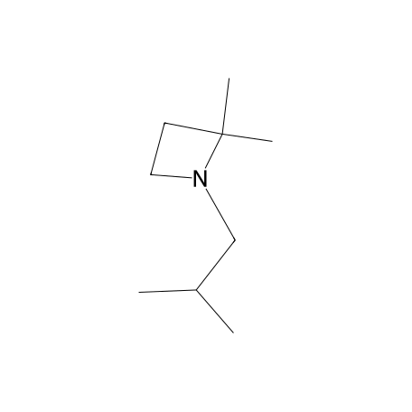 CC(C)CN1CCC1(C)C